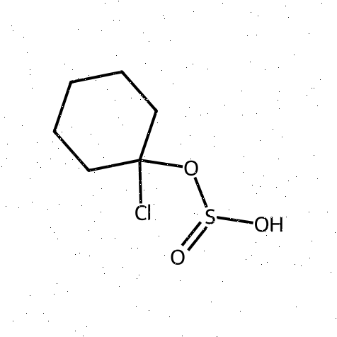 O=S(O)OC1(Cl)CCCCC1